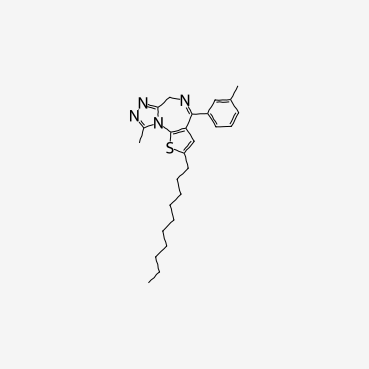 CCCCCCCCCCc1cc2c(s1)-n1c(C)nnc1CN=C2c1cccc(C)c1